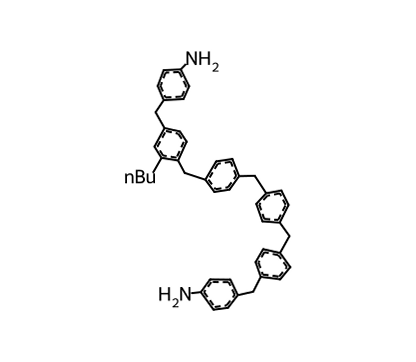 CCCCc1cc(Cc2ccc(N)cc2)ccc1Cc1ccc(Cc2ccc(Cc3ccc(Cc4ccc(N)cc4)cc3)cc2)cc1